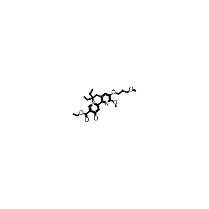 CCOC(=O)c1cn2c(cc1=O)-c1nc(OC)c(OCCCOC)cc1CC2(CC)CC